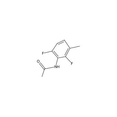 CC(=O)Nc1c(F)ccc(C)c1F